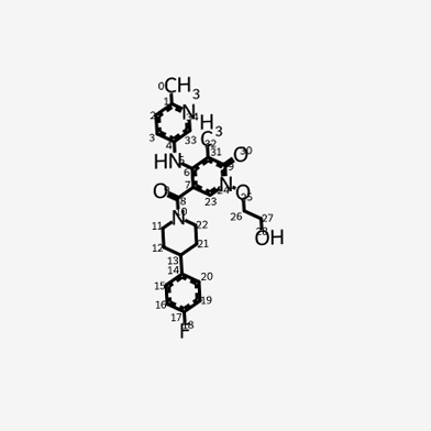 Cc1ccc(Nc2c(C(=O)N3CCC(c4ccc(F)cc4)CC3)cn(OCCO)c(=O)c2C)cn1